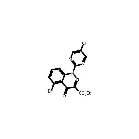 CCOC(=O)c1nn(-c2ncc(Cl)cn2)c2cccc(Br)c2c1=O